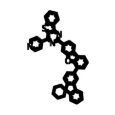 c1ccc2c(c1)-c1cc(-c3cccc4c3oc3cc(-c5nc(-c6ccncc6)c6sc7ccccc7c6n5)ccc34)ccc1C21CCCCC1